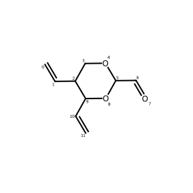 C=CC1COC(C=O)OC1C=C